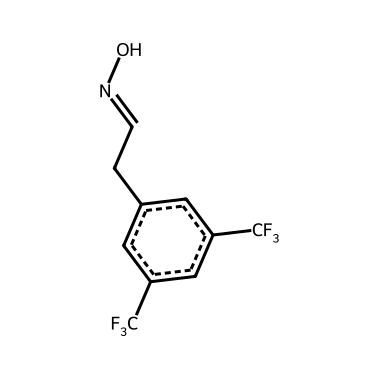 ON=CCc1cc(C(F)(F)F)cc(C(F)(F)F)c1